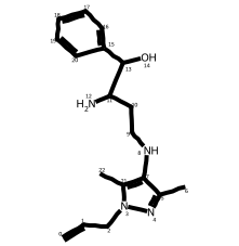 C=CCn1nc(C)c(NCCC(N)C(O)c2ccccc2)c1C